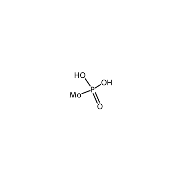 O=[P](O)(O)[Mo]